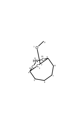 COC1CC2CCCCC1CNC2